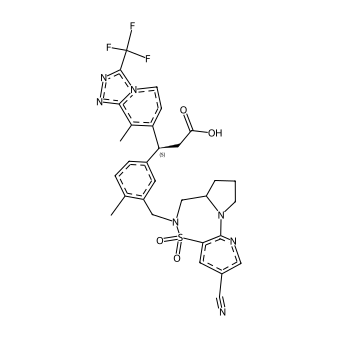 Cc1ccc([C@H](CC(=O)O)c2ccn3c(C(F)(F)F)nnc3c2C)cc1CN1CC2CCCN2c2ncc(C#N)cc2S1(=O)=O